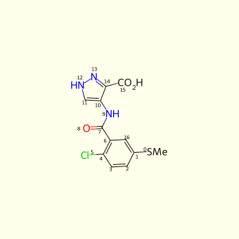 CSc1ccc(Cl)c(C(=O)Nc2c[nH]nc2C(=O)O)c1